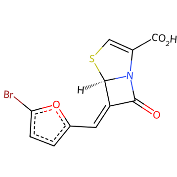 O=C(O)C1=CS[C@@H]2/C(=C\c3ccc(Br)o3)C(=O)N12